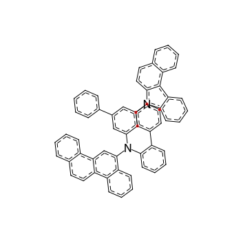 c1ccc(-c2cc(N(c3ccccc3-c3ccccc3)c3cc4c5ccccc5ccc4c4ccccc34)cc(-n3c4ccccc4c4c5ccccc5ccc43)c2)cc1